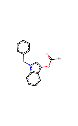 CCC(=O)Oc1cn(Cc2ccccc2)c2ccccc12